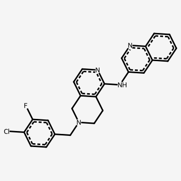 Fc1cc(CN2CCc3c(ccnc3Nc3cnc4ccccc4c3)C2)ccc1Cl